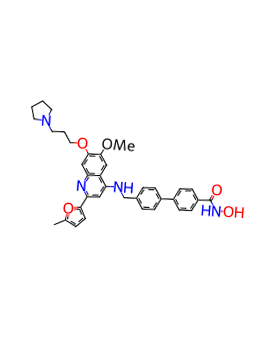 COc1cc2c(NCc3ccc(-c4ccc(C(=O)NO)cc4)cc3)cc(-c3ccc(C)o3)nc2cc1OCCCN1CCCC1